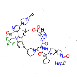 CO[C@@H](C)c1ncc(N2CCN(C3CC3)CC2)cc1-c1c2c3cc(ccc3n1CC(F)(F)F)C1=CCCN(C1)C[C@H](NC(=O)[C@H](C1CCCC1)N1CC[C@]3(CCN(C(=O)[C@H]4CN4)C3)C1)C(=O)N1CCC[C@H](N1)C(=O)OCC(C)(C)C2